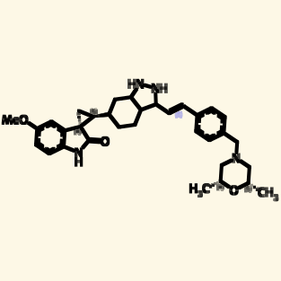 COc1ccc2c(c1)[C@]1(C[C@H]1C1CCC3C(/C=C/c4ccc(CN5C[C@@H](C)O[C@@H](C)C5)cc4)NNC3C1)C(=O)N2